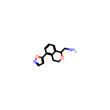 NCC1OCCc2c(-c3ccno3)cccc21